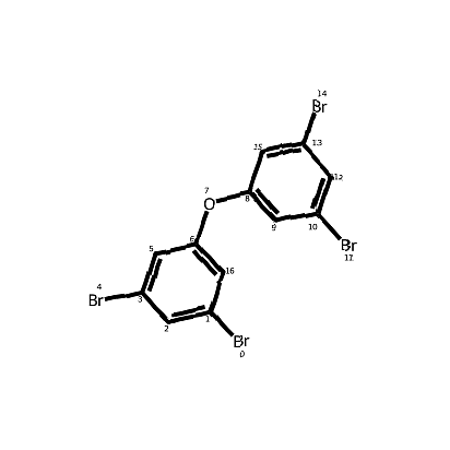 Brc1[c]c(Br)cc(Oc2cc(Br)[c]c(Br)c2)c1